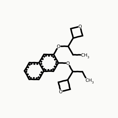 CCC(Oc1cc2ccccc2cc1OC(CC)C1COC1)C1COC1